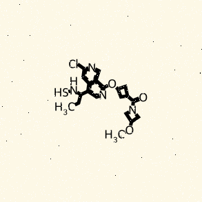 CCC(NS)c1cnc(OC2CC(C(=O)N3CC(OC)C3)C2)c2cnc(Cl)cc12